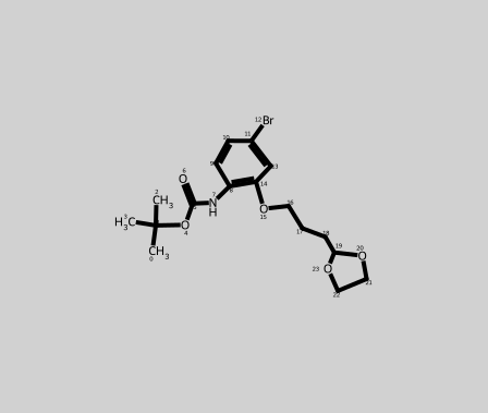 CC(C)(C)OC(=O)Nc1ccc(Br)cc1OCCCC1OCCO1